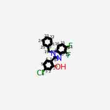 Oc1cc(Cl)ccc1-c1nc2c(F)c(F)ccc2n1Cc1ccccc1